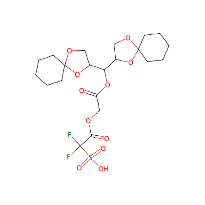 O=C(COC(=O)C(F)(F)S(=O)(=O)O)OC(C1COC2(CCCCC2)O1)C1COC2(CCCCC2)O1